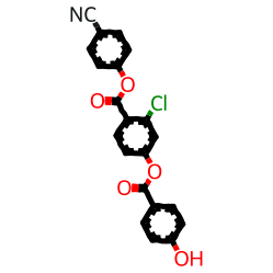 N#Cc1ccc(OC(=O)c2ccc(OC(=O)c3ccc(O)cc3)cc2Cl)cc1